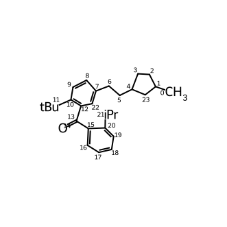 CC1CCC(CCc2ccc(C(C)(C)C)c(C(=O)c3ccccc3C(C)C)c2)C1